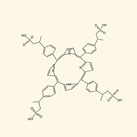 CC(CS(=O)(=O)O)c1ccc(-c2c3nc(c(-c4ccc(C(C)CS(=O)(=O)O)cc4)c4ccc([nH]4)c(-c4ccc(C(C)CS(=O)(=O)O)cc4)c4nc(c(-c5ccc(C(C)CS(=O)(=O)O)cc5)c5ccc2[nH]5)C=C4)C=C3)cc1